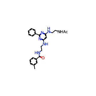 CC(=O)NCCNc1cc(NCCNC(=O)c2cccc(C)c2)nc(-c2ccccc2)n1